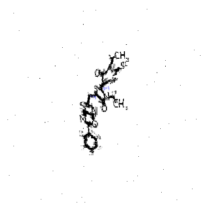 CCN1C(=O)/C(=c2\s/c(=C/c3nc4oc(-c5ccccc5)nc4s3)c(=O)n2CC)SC1=S